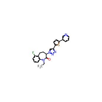 O=C1C(n2cc(-c3ccc(-c4cccnc4)s3)nn2)CCc2c(F)cccc2N1CC(F)(F)F